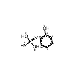 OP(O)(=S)S.Oc1ccccc1